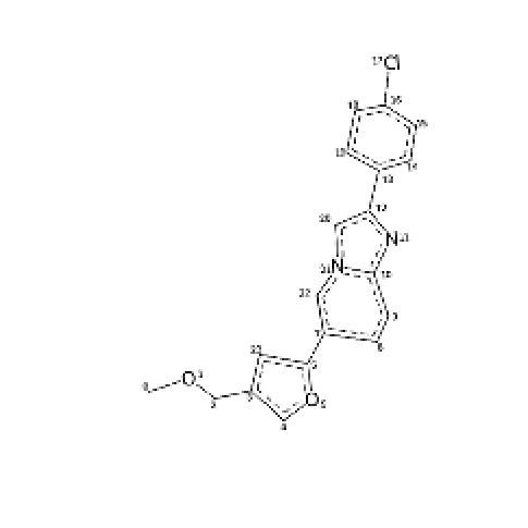 COCc1coc(-c2ccc3nc(-c4ccc(Cl)cc4)cn3c2)c1